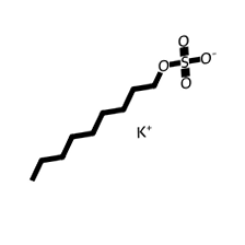 CCCCCCCCCOS(=O)(=O)[O-].[K+]